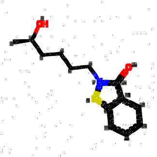 C[C@@H](O)CCCCn1sc2ccccc2c1=O